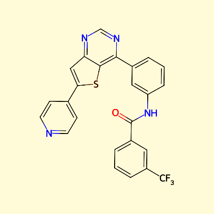 O=C(Nc1cccc(-c2ncnc3cc(-c4ccncc4)sc23)c1)c1cccc(C(F)(F)F)c1